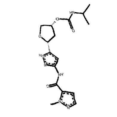 CC(C)NC(=O)O[C@H]1CO[C@@H](c2cc(NC(=O)c3ccnn3C)n[nH]2)C1